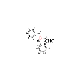 O=CCB(Cc1ccccc1)Cc1ccccc1